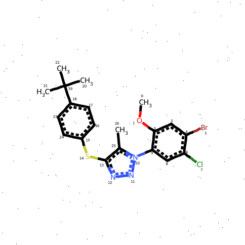 COc1cc(Br)c(Cl)cc1-n1nnc(Sc2ccc(C(C)(C)C)cc2)c1C